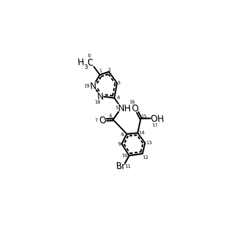 Cc1ccc(NC(=O)c2cc(Br)ccc2C(=O)O)nn1